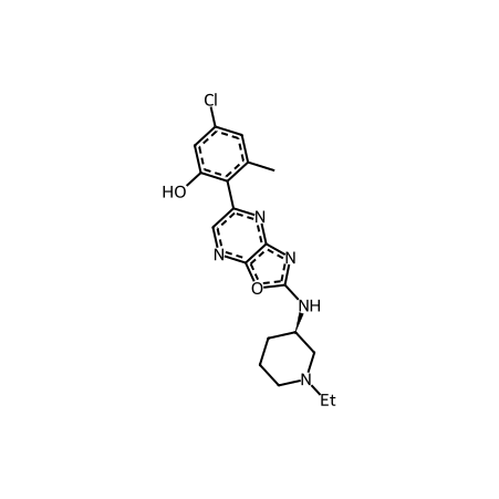 CCN1CCC[C@@H](Nc2nc3nc(-c4c(C)cc(Cl)cc4O)cnc3o2)C1